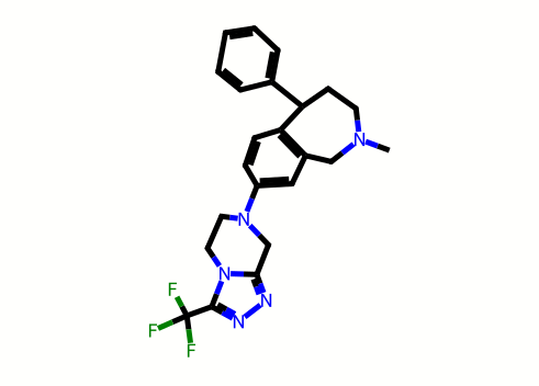 CN1CCC(c2ccccc2)c2ccc(N3CCn4c(nnc4C(F)(F)F)C3)cc2C1